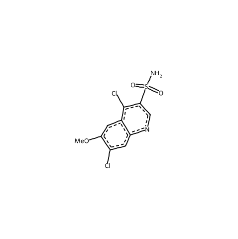 COc1cc2c(Cl)c(S(N)(=O)=O)cnc2cc1Cl